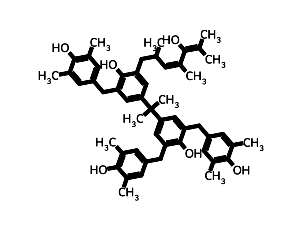 CC(C)=C(O)/C(C)=C\C(C)Cc1cc(C(C)(C)c2cc(Cc3cc(C)c(O)c(C)c3)c(O)c(Cc3cc(C)c(O)c(C)c3)c2)cc(Cc2cc(C)c(O)c(C)c2)c1O